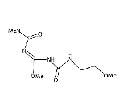 CNC(=O)N=C(NC(=O)NCCOC)OC